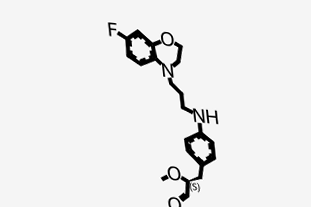 CO[C@H](C=O)Cc1ccc(NCCCN2CCOc3cc(F)ccc32)cc1